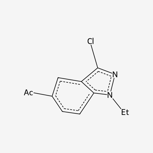 CCn1nc(Cl)c2cc(C(C)=O)ccc21